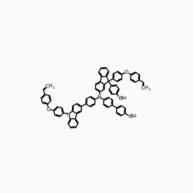 C=Cc1ccc(Oc2ccc(-n3c4ccccc4c4cc(-c5ccc(N(c6ccc(-c7ccc(C(C)(C)C)cc7)cc6)c6ccc7c(c6)C(c6ccc(Oc8ccc(C=C)cc8)cc6)(c6ccc(C(C)(C)C)cc6)c6ccccc6-7)cc5)ccc43)cc2)cc1